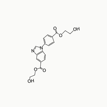 O=C(OCCO)c1ccc(-n2cnc3cc(C(=O)OCCO)ccc32)cc1